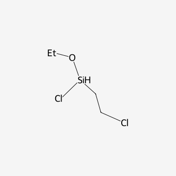 CCO[SiH](Cl)CCCl